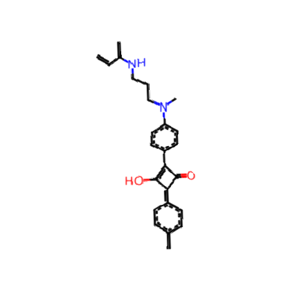 C=CC(=C)NCCCN(C)c1ccc(C2=C(O)C(=c3ccc(=C)cc3)C2=O)cc1